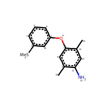 CSc1cccc(Oc2cc(C)c(N)cc2C)c1